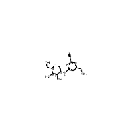 CSc1cc(N[C@H]2CO[C@H](CO)[C@H](O)[C@@H]2O)nc(C#N)n1